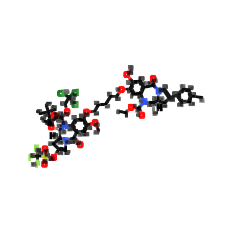 CCOC(=O)N1c2cc(OCCCCCOc3cc4c(cc3OC)C(=O)N3C=C(OS(=O)(=O)C(F)(F)F)C[C@H]3[C@H](O[Si](C)(C)C(C)(C)C)N4C(=O)OCC(Cl)(Cl)Cl)c(OC)cc2C(=O)N2C=C(c3ccc(C)cc3)C[C@H]2[C@@H]1C